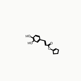 O=C(/C=C/c1ccc(O)c(O)c1)OC1=CCCC1